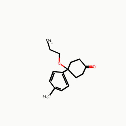 CCCOC1(c2ccc(C)cc2)CCC(=O)CC1